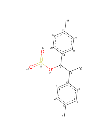 [CH2]C(c1ccc(C)cc1)C(O[SH](=O)=O)c1ccc(C)cc1